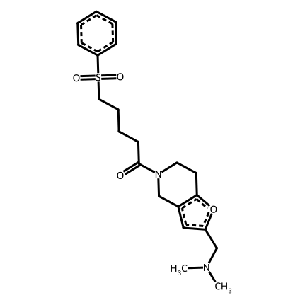 CN(C)Cc1cc2c(o1)CCN(C(=O)CCCCS(=O)(=O)c1ccccc1)C2